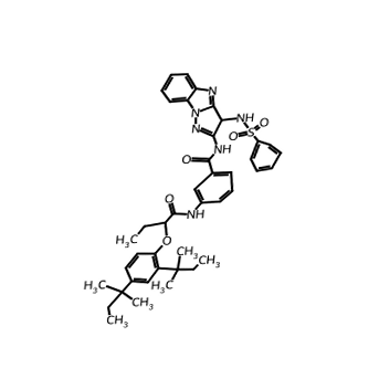 CCC(Oc1ccc(C(C)(C)CC)cc1C(C)(C)CC)C(=O)Nc1cccc(C(=O)NC2=Nn3c(nc4ccccc43)C2NS(=O)(=O)c2ccccc2)c1